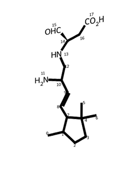 CC1CCC(C)(C)C1C=CC(N)CN[C@@H](C=O)CC(=O)O